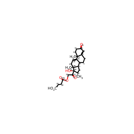 C[C@H]1CC2C3CCC4=CC(=O)CC[C@]4(C)C3=CC[C@]2(C)[C@@]1(O)C(=O)COC(=O)CCC(=O)O